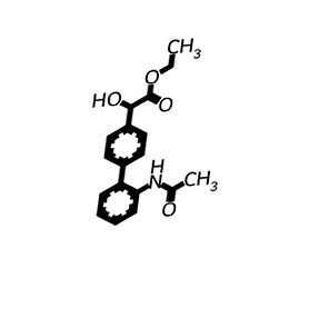 CCOC(=O)C(O)c1ccc(-c2ccccc2NC(C)=O)cc1